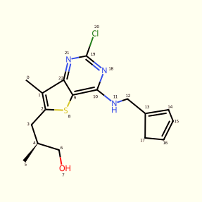 Cc1c(C[C@H](C)CO)sc2c(NCC3=CC=CC3)nc(Cl)nc12